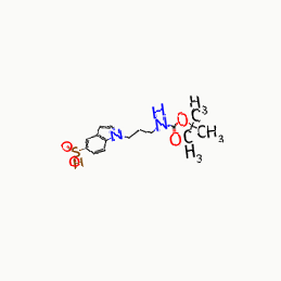 CC(C)(C)OC(=O)NCCCn1ccc2cc([SH](=O)=O)ccc21